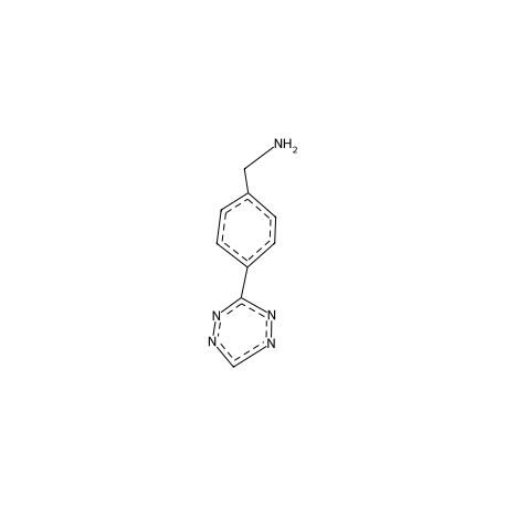 NCc1ccc(-c2nncnn2)cc1